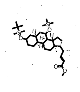 COC(=O)/C=C/[C@@H](C)[C@H]1CC[C@H]2[C@@H]3C(O[Si](C)(C)C)C[C@@H]4CC(O[Si](C)(C)C(C)(C)C)CC[C@]4(C)[C@H]3CC[C@]12C